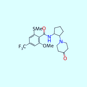 COc1cc(C(F)(F)F)cc(SC)c1C(=O)NC1CCCC1N1CCC(=O)CC1